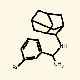 CC(NC1C2CC3CC(C2)CC1C3)c1cccc(Br)c1